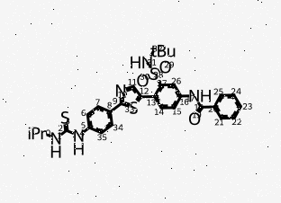 CC(C)NC(=S)Nc1ccc(-c2ncc(-c3ccc(NC(=O)c4ccccc4)cc3S(=O)(=O)NC(C)(C)C)s2)cc1